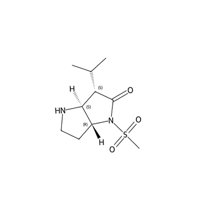 CC(C)[C@@H]1C(=O)N(S(C)(=O)=O)[C@@H]2CCN[C@H]21